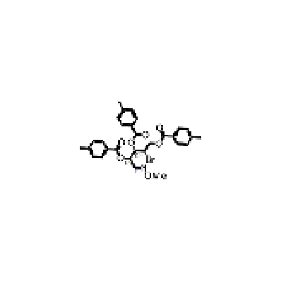 CO/N=C/[C@@H](OC(=O)c1ccc(C)cc1)[C@H](OC(=O)c1ccc(C)cc1)[C@@H](Br)COC(=O)c1ccc(C)cc1